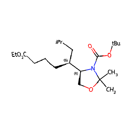 CCOC(=O)CCC[C@@H](CC(C)C)[C@@H]1COC(C)(C)N1C(=O)OC(C)(C)C